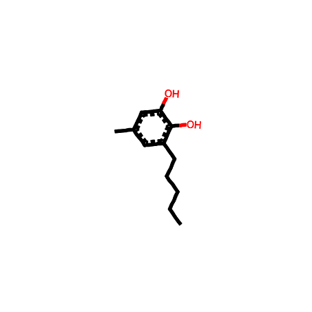 CCCCCc1cc(C)cc(O)c1O